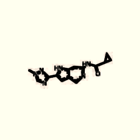 Cn1cnc(-c2cc3cnc(NC(=O)C4CC4)cc3[nH]2)n1